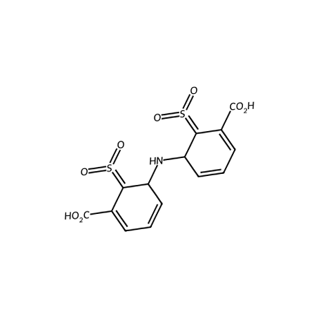 O=C(O)C1=CC=CC(NC2C=CC=C(C(=O)O)C2=S(=O)=O)C1=S(=O)=O